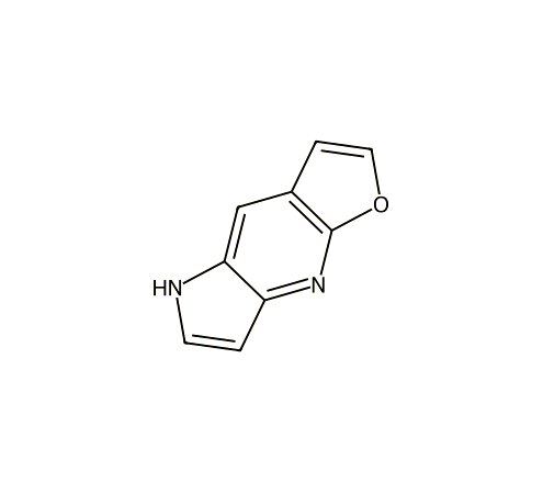 c1cc2nc3occc3cc2[nH]1